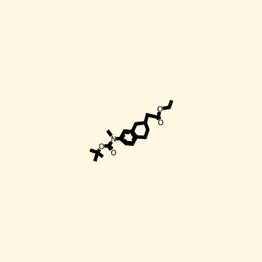 CCOC(=O)CC1CCc2ccc(N(C)C(=O)OC(C)(C)C)cc2C1